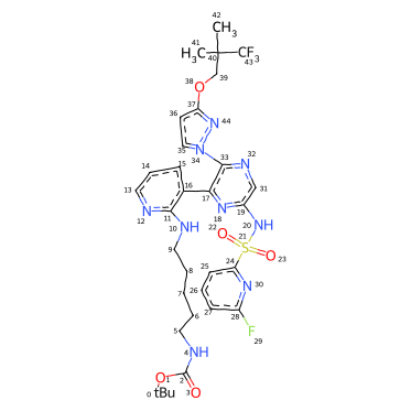 CC(C)(C)OC(=O)NCCCCCNc1ncccc1-c1nc(NS(=O)(=O)c2cccc(F)n2)cnc1-n1ccc(OCC(C)(C)C(F)(F)F)n1